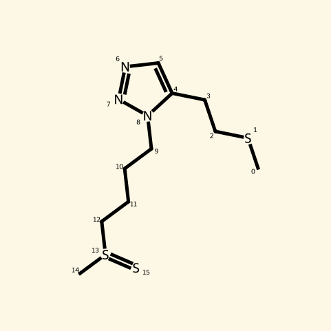 CSCCc1cnnn1CCCCS(C)=S